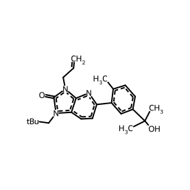 C=CCn1c(=O)n(CC(C)(C)C)c2ccc(-c3cc(C(C)(C)O)ccc3C)nc21